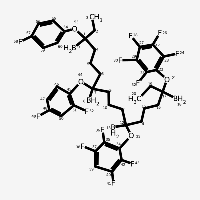 BC(CC)(CCCC(B)(CCCC(B)(CCCC(B)(CC)Oc1c(F)c(F)c(F)c(F)c1F)Oc1c(F)c(F)cc(F)c1F)Oc1ccc(F)cc1F)Oc1ccc(F)cc1